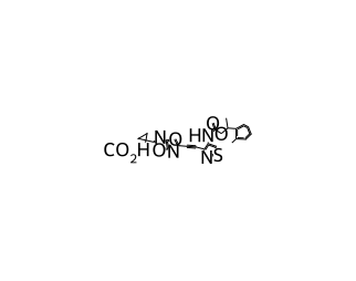 Cc1ccccc1C(C)OC(=O)Nc1csnc1C#Cc1nc2oc(C3(C(=O)O)CC3)nc2o1